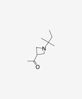 CCC(C)(C)N1CC(C(C)=O)C1